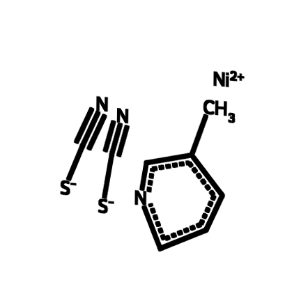 Cc1cccnc1.N#C[S-].N#C[S-].[Ni+2]